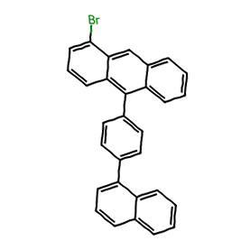 Brc1cccc2c(-c3ccc(-c4cccc5ccccc45)cc3)c3ccccc3cc12